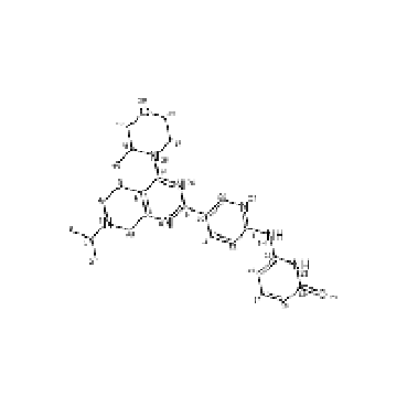 CC(C)N1CCc2c(nc(-c3ccc(Nc4cccc(=O)[nH]4)nc3)nc2N2CCOCC2C)C1